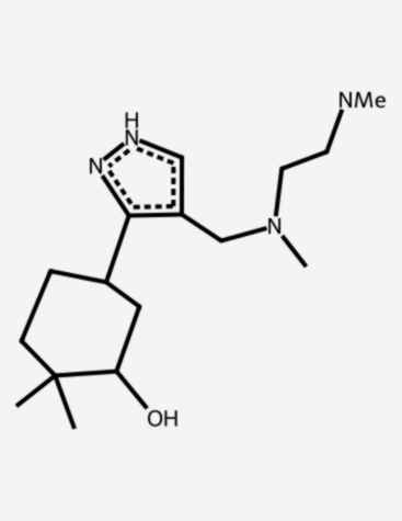 CNCCN(C)Cc1c[nH]nc1C1CCC(C)(C)C(O)C1